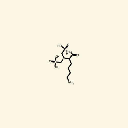 NCCCCC(C(=O)O)N(CP(=O)(O)O)CP(=O)(O)O